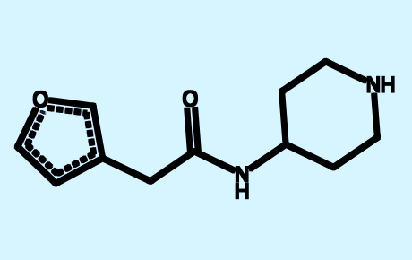 O=C(Cc1ccoc1)NC1CCNCC1